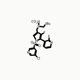 CC(C)(C)CN(Cc1cn(S(=O)(=O)c2cncc(Cl)c2)c(-c2cccnc2F)c1F)C(=O)O